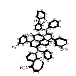 C=C1/C=C\C=C/OC2C1=CC=CC2N(C1=C2C=CC3(C)C4=C2C(C(C2C=CC=C(C)C2)=C1)C(C)C=C4C(N(c1ccccc1)c1cccc2c1OC1C#CC=C[C@H]21)=CC3C1=CC(C)CC=C1)c1ccccc1